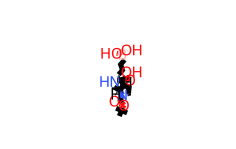 CC(C)(C)OC(=O)N1CC[C@H]2[C@@H]1CN[C@@]2(CCCCB(O)O)C(=O)O